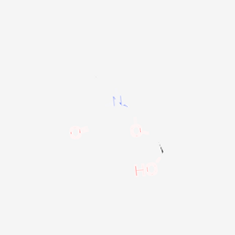 Cc1cc(C=O)n([C@H]2CC[C@@H](CO)O2)c1